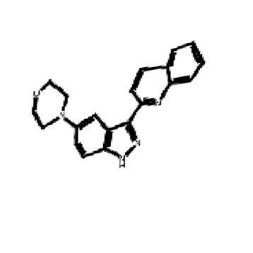 c1ccc2nc(-c3n[nH]c4ccc(N5CCOCC5)cc34)ccc2c1